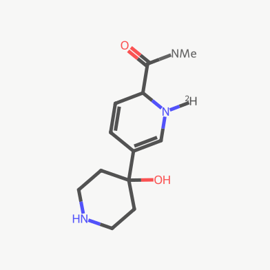 [2H]N1C=C(C2(O)CCNCC2)C=CC1C(=O)NC